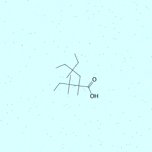 CCC(C)(CC)CC(C)(C(=O)O)C(C)(C)CC